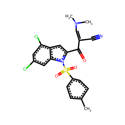 Cc1ccc(S(=O)(=O)n2c(C(=O)/C(C#N)=C/N(C)C)cc3c(Cl)cc(Cl)cc32)cc1